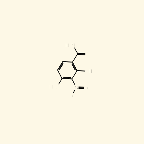 Cc1ccc(C(N)=O)c(C)c1[N+](=O)[O-]